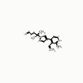 C=Cc1c(-c2cnn(C(C)(C)CCC=O)c2)ccnc1N